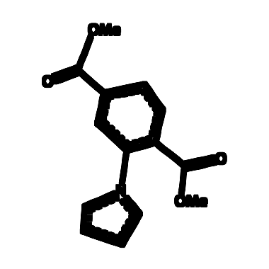 COC(=O)c1ccc(C(=O)OC)c(-n2cccc2)c1